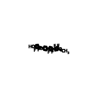 CCOc1ccc(-c2ccc(C3=CCC(OCc4ccc(O)c(F)c4F)CC3)c(F)c2F)c(F)c1F